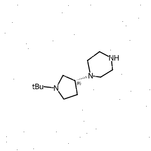 CC(C)(C)N1CC[C@@H](N2CCNCC2)C1